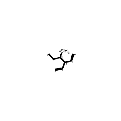 C=CC(C=C)C([SiH3])CC